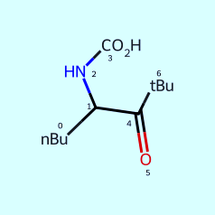 CCCCC(NC(=O)O)C(=O)C(C)(C)C